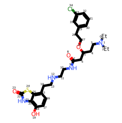 CCN(CC)CCC(CC(=O)NCCNCCc1ccc(O)c2[nH]c(=O)sc12)OCCc1cccc(Cl)c1